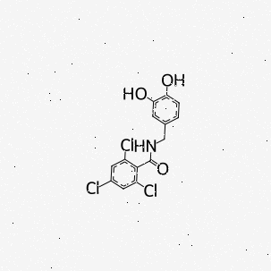 O=C(NCc1ccc(O)c(O)c1)c1c(Cl)cc(Cl)cc1Cl